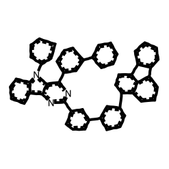 c1ccc(-c2cccc(-c3nc(-c4cccc(-c5cccc(-c6ccc7c8c(cccc68)-c6ccccc6-7)c5)c4)nc4c5ccccc5n(-c5ccccc5)c34)c2)cc1